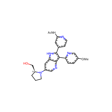 COc1ccc(-c2c(-c3ccnc(NC(C)=O)c3)[nH]c3cc(N4CCC[C@H]4CO)cnc23)nc1